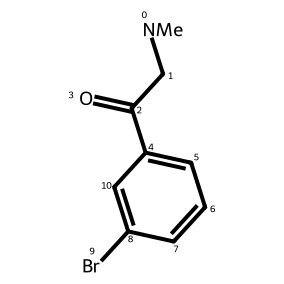 CNCC(=O)c1cccc(Br)c1